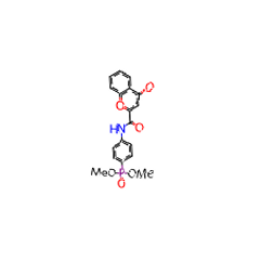 COP(=O)(OC)c1ccc(NC(=O)c2cc(=O)c3ccccc3o2)cc1